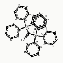 O=C([Si](c1ccccc1)(c1ccccc1)c1ccccc1)[Si](c1ccccc1)(c1ccccc1)c1ccccc1